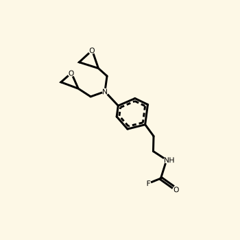 O=C(F)NCCc1ccc(N(CC2CO2)CC2CO2)cc1